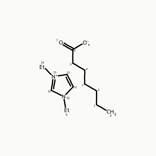 CCCCCCC(=O)[O-].CCn1cc[n+](CC)c1